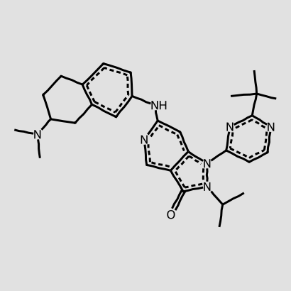 CC(C)n1c(=O)c2cnc(Nc3ccc4c(c3)CC(N(C)C)CC4)cc2n1-c1ccnc(C(C)(C)C)n1